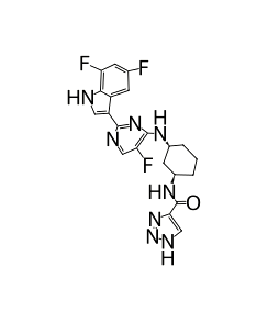 O=C(N[C@@H]1CCC[C@H](Nc2nc(-c3c[nH]c4c(F)cc(F)cc34)ncc2F)C1)c1c[nH]nn1